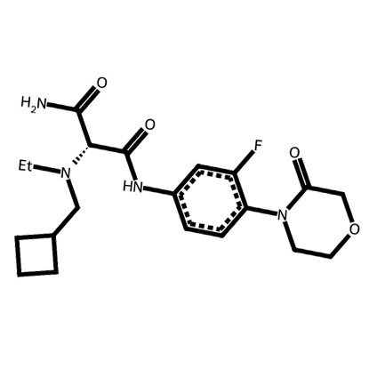 CCN(CC1CCC1)[C@H](C(N)=O)C(=O)Nc1ccc(N2CCOCC2=O)c(F)c1